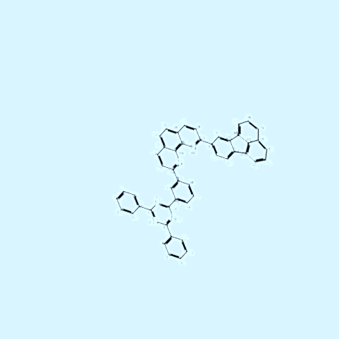 c1ccc(-c2nc(-c3ccccc3)nc(-c3cccc(-c4ccc5ccc6ccc(-c7ccc8c(c7)-c7cccc9cccc-8c79)nc6c5n4)c3)n2)cc1